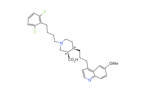 COc1ccc2nccc(CCC[C@@H]3CCN(CCCCc4c(F)cccc4F)C[C@@H]3C(=O)O)c2c1